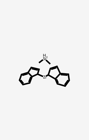 C1=C[CH]([Zr][CH]2C=Cc3ccccc32)c2ccccc21.C[SiH2]C